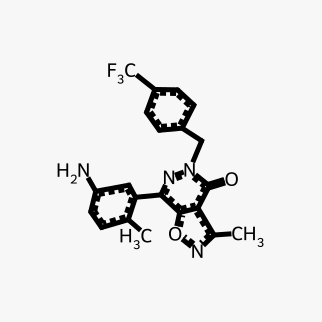 Cc1ccc(N)cc1-c1nn(Cc2ccc(C(F)(F)F)cc2)c(=O)c2c(C)noc12